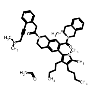 CCCCc1c(CCCC)c(-c2cc3c(cc2C(=O)N2Cc4ccccc4C[C@H]2C)CN(C(=O)Cc2ccccc2C#CCN(C)C)CC3)n(C)c1C.NC=O